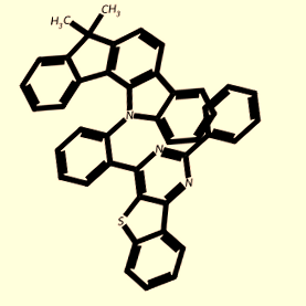 CC1(C)c2ccccc2-c2c1ccc1c3ccccc3n(-c3ccccc3-c3nc(-c4ccccc4)nc4c3sc3ccccc34)c21